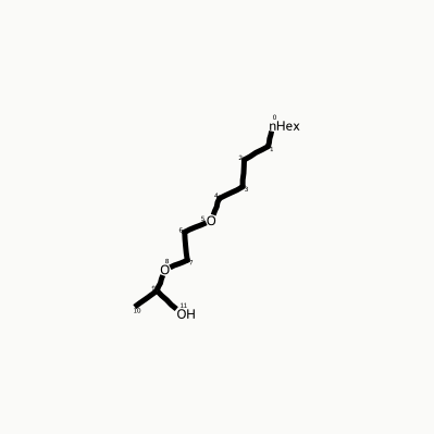 CCCCCCCCCCOCCOC(C)O